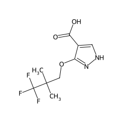 CC(C)(COc1n[nH]cc1C(=O)O)C(F)(F)F